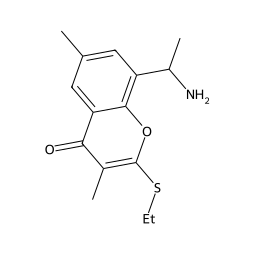 CCSc1oc2c(C(C)N)cc(C)cc2c(=O)c1C